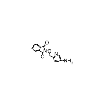 Nc1ccc(CON2C(=O)c3ccccc3C2=O)nc1